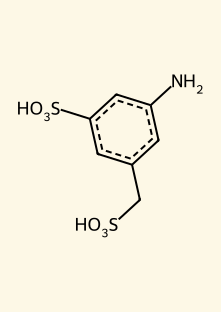 Nc1cc(CS(=O)(=O)O)cc(S(=O)(=O)O)c1